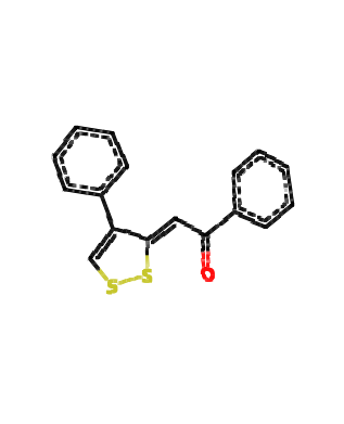 O=C(C=C1SSC=C1c1ccccc1)c1ccccc1